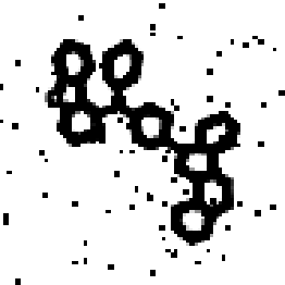 c1ccc(N(c2ccc(-c3cc4c5ccccc5ccc4c4ccccc34)cc2)c2nccc3oc4ccccc4c23)cc1